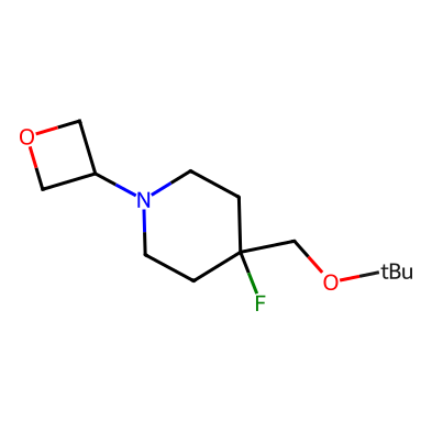 CC(C)(C)OCC1(F)CCN(C2COC2)CC1